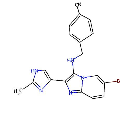 Cc1nc(-c2nc3ccc(Br)cn3c2NCc2ccc(C#N)cc2)c[nH]1